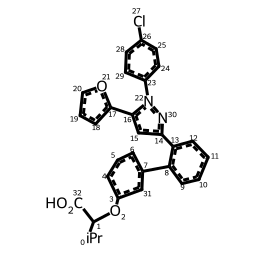 CC(C)C(Oc1cccc(-c2ccccc2-c2cc(-c3ccco3)n(-c3ccc(Cl)cc3)n2)c1)C(=O)O